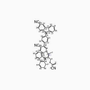 C=C(C#N)CC/C(=C(\C)C1C=C(c2ccc(-n3c4ccccc4c4cc(C#N)ccc43)cc2)C(C#N)=CC1)n1c2c(c3ccccc31)C=CCC2